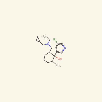 CCN(CC1CC1)CC1CCCC(C)C1(O)c1cncc(Br)c1